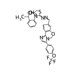 CC(C)c1ccccc1N1C(=O)CS/C1=N\N=C/c1ccc2c(c1)OCn1c(-c3ccc(OC(F)(F)F)cc3)cnc1-2